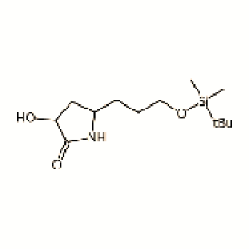 CC(C)(C)[Si](C)(C)OCCCC1CC(O)C(=O)N1